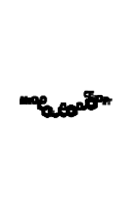 COC(=O)CC1CCN(CC2=Cc3ccc(OCc4ccc(OC(C)C)c(C(F)(F)F)c4)cc3OC2)CC1